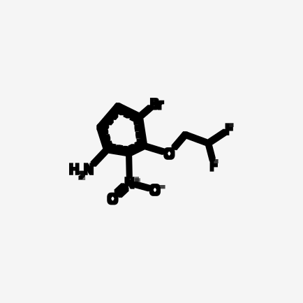 Nc1ccc(Br)c(OCC(F)F)c1[N+](=O)[O-]